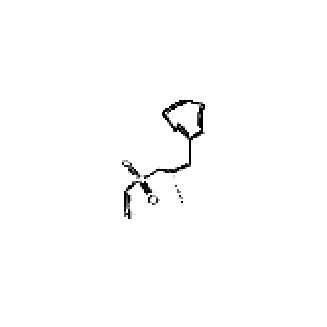 C[C@@H](Cc1ccccc1)CS(=O)(=O)C=N